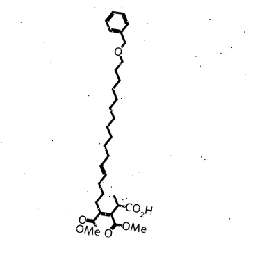 COC(=O)C(CCCC=CCCCCCCCCCCCOCc1ccccc1)=C(C(=O)OC)C(C)C(=O)O